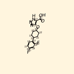 O=C(O)c1[nH]nnc1OC1CCC(c2ccc(F)cc2F)CC1